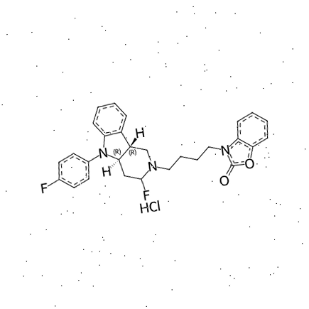 Cl.O=c1oc2ccccc2n1CCCCN1C[C@H]2c3ccccc3N(c3ccc(F)cc3)[C@@H]2CC1F